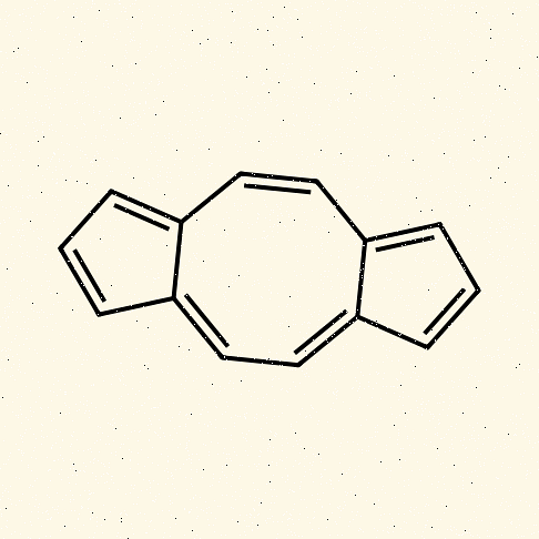 c1cc2ccc3cccc-3ccc-2c1